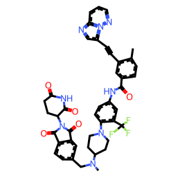 Cc1ccc(C(=O)Nc2ccc(N3CCC(N(C)Cc4ccc5c(c4)C(=O)N(C4CCC(=O)NC4=O)C5=O)CC3)c(C(F)(F)F)c2)cc1C#Cc1cnc2cccnn12